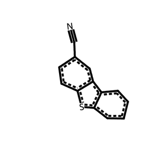 N#Cc1ccc2sc3ccccc3c2c1